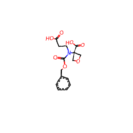 O=C(O)CCN(C(=O)OCc1ccccc1)C1(C(=O)O)COC1